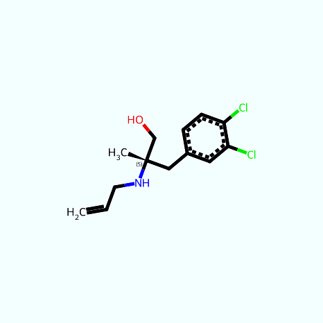 C=CCN[C@](C)(CO)Cc1ccc(Cl)c(Cl)c1